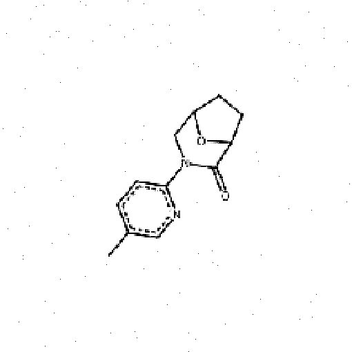 Cc1ccc(N2CC3CCC(O3)C2=O)nc1